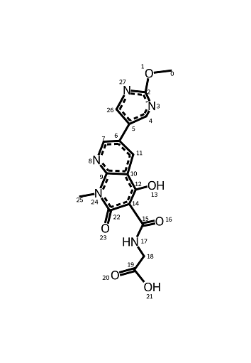 COc1ncc(-c2cnc3c(c2)c(O)c(C(=O)NCC(=O)O)c(=O)n3C)cn1